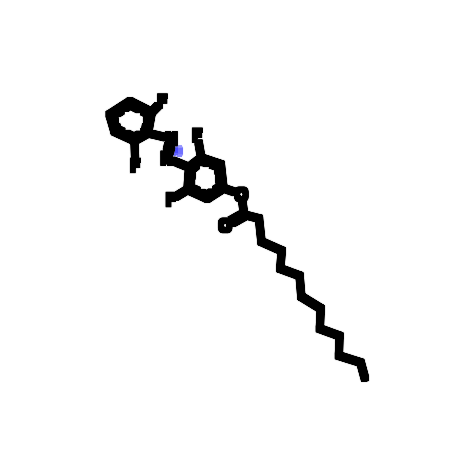 CCCCCCCCCCCCC(=O)Oc1cc(F)c(/N=N/c2c(F)cccc2F)c(F)c1